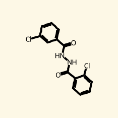 O=C(NNC(=O)c1ccccc1Cl)c1cccc(Cl)c1